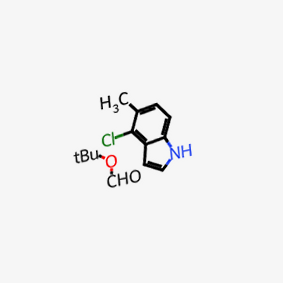 CC(C)(C)OC=O.Cc1ccc2[nH]ccc2c1Cl